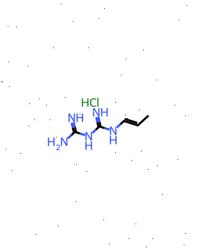 CC=CNC(=N)NC(=N)N.Cl